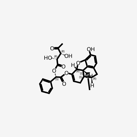 CC(=O)[C@H](O)[C@@H](O)C(=O)O[C@H](C(=O)OC1=CC[C@@]2(O)[C@H]3Cc4ccc(O)c5c4[C@@]2(CCN3C)[C@H]1O5)c1ccccc1